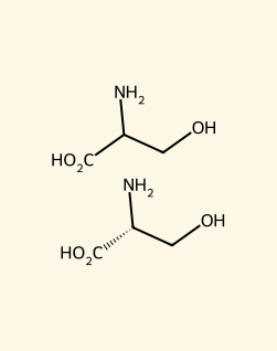 NC(CO)C(=O)O.N[C@H](CO)C(=O)O